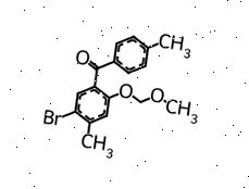 COCOc1cc(C)c(Br)cc1C(=O)c1ccc(C)cc1